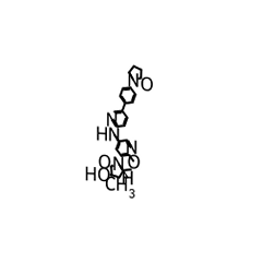 C[C@@]1(O)C[C@H]2COc3ncc(Nc4ccc(-c5ccc(N6CCCC6=O)cc5)cn4)cc3N2C1=O